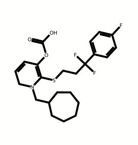 O=C(O)OC1=C(SCCC(F)(F)c2ccc(F)cc2)N(CC2CCCCCC2)CC=C1